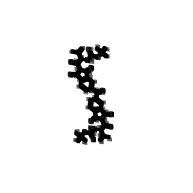 CC(C)[C@@H](NC(=O)OC(C)(C)C)C(=O)C1C(=O)c2ccc(C(=O)c3ccc4c(c3)C(=O)C(C(=O)[C@H](NC(=O)OC(C)(C)C)C(C)C)C4=O)cc2C1=O